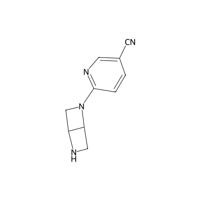 N#Cc1ccc(N2CC3NCC32)nc1